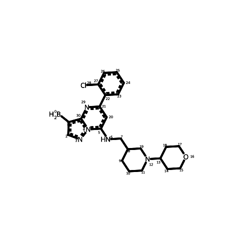 Bc1cnn2c(NCC3CCCN(C4CCOCC4)C3)cc(-c3ccccc3Cl)nc12